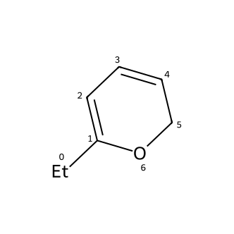 [CH2]CC1=CC=CCO1